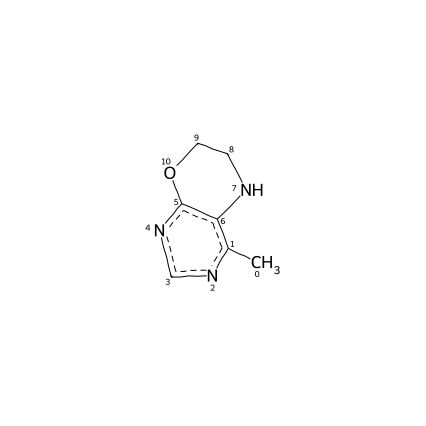 Cc1ncnc2c1NCCO2